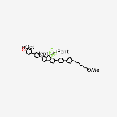 CCCCCCCCOc1ccc(-c2ccc(-c3ccc4c(c3)C(CCCCCCC)(C(F)(F)C(F)(F)CCCCC)c3cc(-c5ccc(-c6ccc(C/C=C/CC/C=C/OC)cc6)cc5)ccc3-4)cc2)cc1